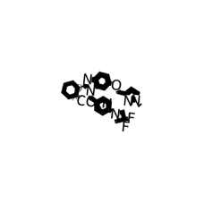 Cn1ccc(COc2ccc3nc([C@H]4CCCC[C@H]4C(=O)O)n(Cc4ccc(N5CC(F)(F)C5)cc4)c3c2)n1